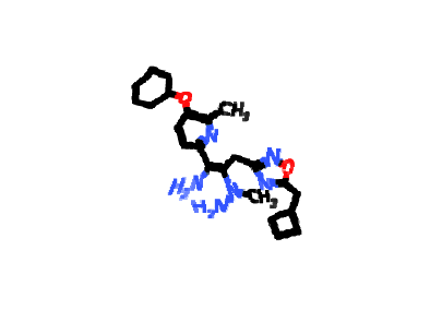 Cc1nc(/C(N)=C(\Cc2noc(CC3CCC3)n2)N(C)N)ccc1OC1CCCCC1